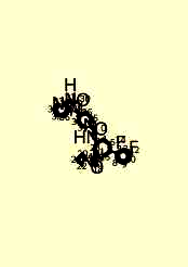 O=C(N[C@@H]1CC[C@@H](c2cccc(F)c2F)CN(C(=O)N2CCC2)C1)N1CCC(n2c(=O)[nH]c3ncccc32)CC1